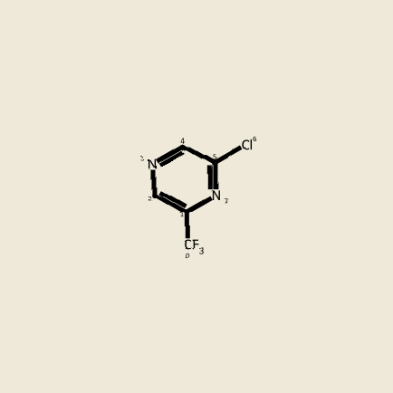 FC(F)(F)c1cn[c]c(Cl)n1